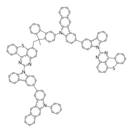 CC1(Cc2ccc3nc(-n4c5ccccc5c5cc(-c6ccc7c(c6)c6cc8ccccc8cc6n7-c6ccccc6)ccc54)nc4c3c2Sc2ccccc2-4)c2ccccc2-c2cc(-n3c4ccc(-c5ccc6c(c5)c5ccccc5n6-c5nc6c7c(cccc7n5)Sc5ccccc5-6)cc4c4cc5ccccc5cc43)ccc21